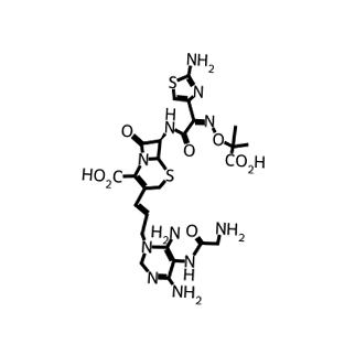 CC(C)(O/N=C(\C(=O)N[C@@H]1C(=O)N2C(C(=O)O)=C(/C=C/CN3CN=C(N)C(NC(=O)CN)=C3N)CSC12)c1csc(N)n1)C(=O)O